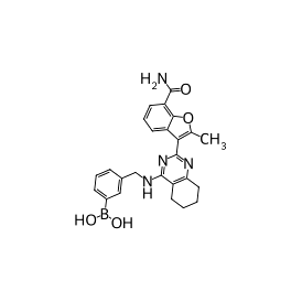 Cc1oc2c(C(N)=O)cccc2c1-c1nc2c(c(NCc3cccc(B(O)O)c3)n1)CCCC2